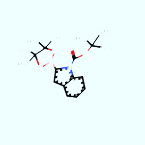 CC(C)(C)OC(=O)n1c(B2OC(C)(C)C(C)(C)O2)cc2ccccc21